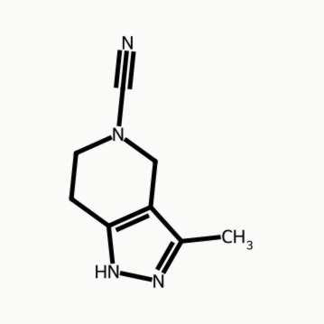 Cc1n[nH]c2c1CN(C#N)CC2